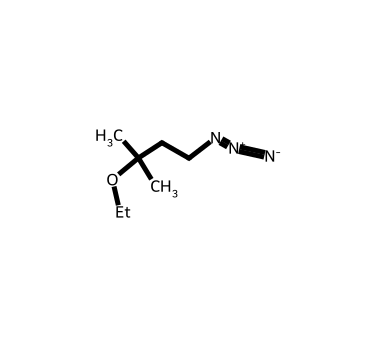 CCOC(C)(C)CCN=[N+]=[N-]